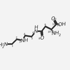 NCCNCCNC(=O)C[C@H](N)C(=O)O